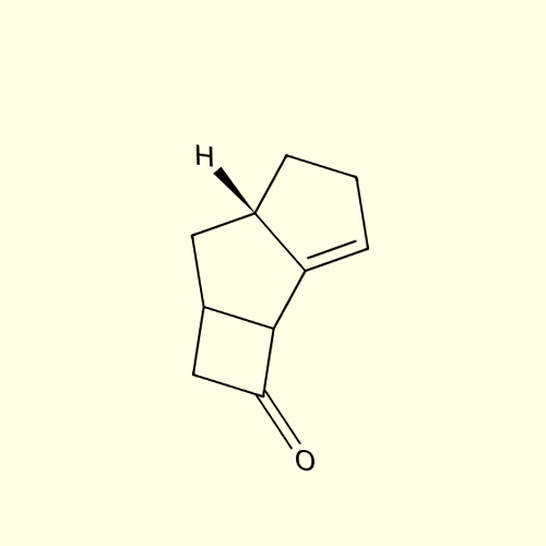 O=C1CC2C[C@@H]3CCC=C3C12